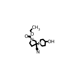 CCOC(=O)N1CCC(C#N)(N2CCC(O)CC2)C1